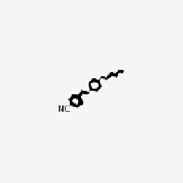 C=CCCCC[C@H]1CC[C@H](CCc2ccc(C#N)cc2)CC1